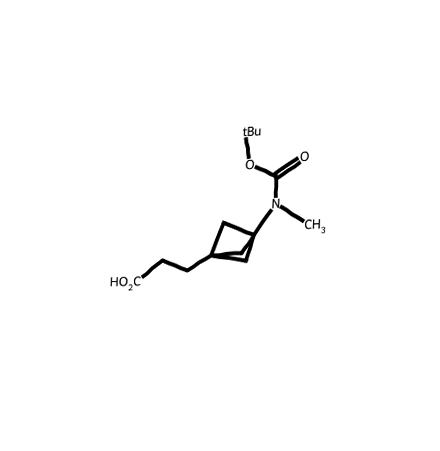 CN(C(=O)OC(C)(C)C)C12CC(CCC(=O)O)(C1)C2